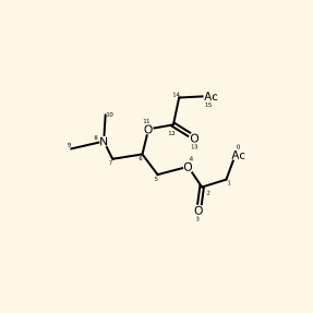 CC(=O)CC(=O)OCC(CN(C)C)OC(=O)CC(C)=O